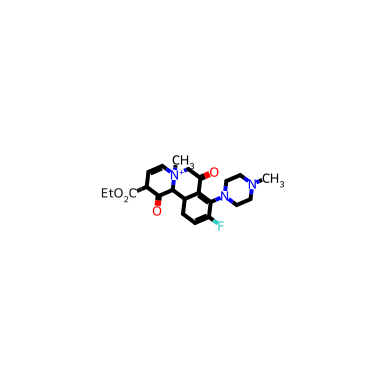 CCOC(=O)C1C=C[N+]2(C)CC(=O)C3=C(N4CCN(C)CC4)C(F)=CCC3C2C1=O